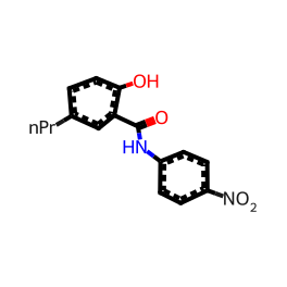 CCCc1ccc(O)c(C(=O)Nc2ccc([N+](=O)[O-])cc2)c1